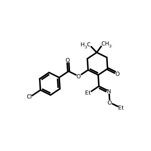 CCON=C(CC)C1=C(OC(=O)c2ccc(Cl)cc2)CC(C)(C)CC1=O